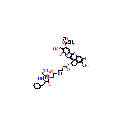 C=C(OC)c1cc2n(c(=O)c1CO)Cc1c-2nc2cc(F)c(C)c3c2c1[C@@H](NC(=O)CCCNC(=O)CNC(=O)C(Cc1ccccc1)NC(=O)CN)CC3